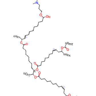 CCCCCCCCC(OC(=O)CCCCCCC/C=C\C[C@@H](CCCCCC)OC(=O)CCCCC)[C@@H](CCCCCCCC(=O)OC(/C=C/CCCCCCCC(O)OCCCN(C)C)CCCCCC)OC(=O)CCCCCCC/C=C\CC(CCCCCC)OC(=O)CCCCC